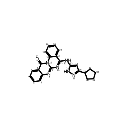 O=c1c2ccccc2nc2nc(Nc3cc(C4CCCC4)n[nH]3)c3ccccc3n12